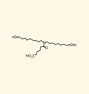 CCCCCCCCCCCCCCCCCCN(CCCCCCCCCCCCCCCCCC)C(=O)CCCCC(=O)O